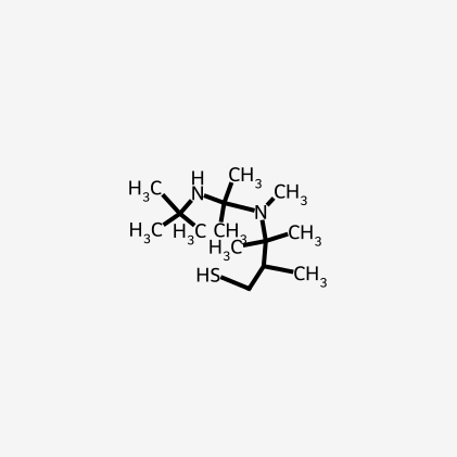 CC(CS)C(C)(C)N(C)C(C)(C)NC(C)(C)C